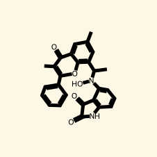 Cc1cc(C(C)N(O)c2cccc3c2C(=O)C(=O)N3)c2oc(-c3ccccc3)c(C)c(=O)c2c1